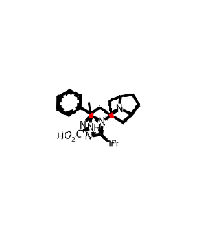 Cc1nnc(C(C)C)n1C1CC2CCC(C1)N2CCC(NC(=O)O)c1ccccc1